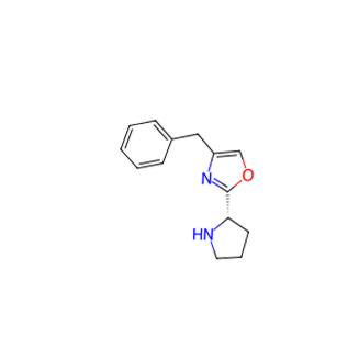 c1ccc(Cc2coc([C@@H]3CCCN3)n2)cc1